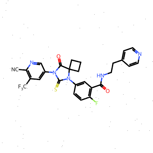 N#Cc1ncc(N2C(=O)C3(CCC3)N(c3ccc(F)c(C(=O)NCCc4ccncc4)c3)C2=S)cc1C(F)(F)F